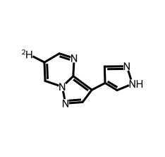 [2H]c1cnc2c(-c3cn[nH]c3)cnn2c1